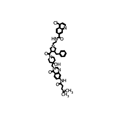 CN(C)CCC(=O)Nc1ccc2c(=O)n(CC3(O)CCN(C(=O)C4CN(CCNC(=O)c5ccc6c(Cl)ccnc6c5)CC4Cc4ccccc4)CC3)cnc2c1